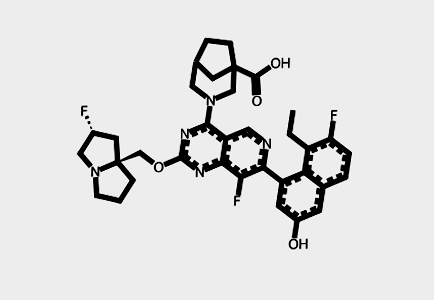 CCc1c(F)ccc2cc(O)cc(-c3ncc4c(N5CC6CCC(C(=O)O)(C6)C5)nc(OC[C@@]56CCCN5C[C@H](F)C6)nc4c3F)c12